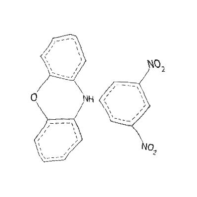 O=[N+]([O-])c1cccc([N+](=O)[O-])c1.c1ccc2c(c1)Nc1ccccc1O2